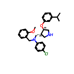 COc1ccccc1CN(C[C@H]1CNC[C@@H]1Oc1cccc(C(C)C)c1)c1ccc(Cl)cc1